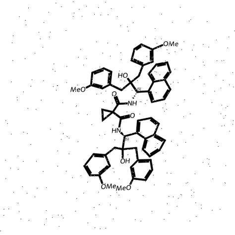 COc1cccc(CC(O)(Cc2cccc(OC)c2)[C@@H](NC(=O)C2(C(=O)N[C@@H](c3cccc4ccccc34)C(O)(Cc3cccc(OC)c3)Cc3cccc(OC)c3)CC2)c2cccc3ccccc23)c1